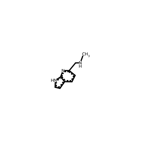 CNCc1ccc2cc[nH]c2n1